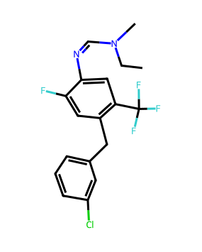 CCN(C)/C=N\c1cc(C(F)(F)F)c(Cc2cccc(Cl)c2)cc1F